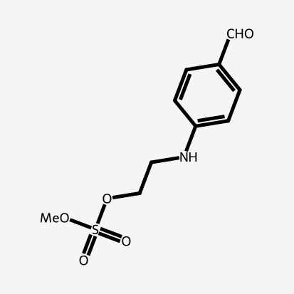 COS(=O)(=O)OCCNc1ccc(C=O)cc1